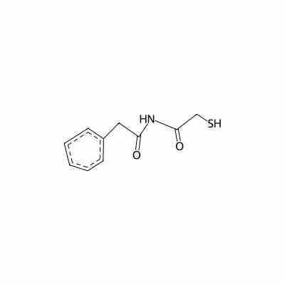 O=C(CS)NC(=O)Cc1ccccc1